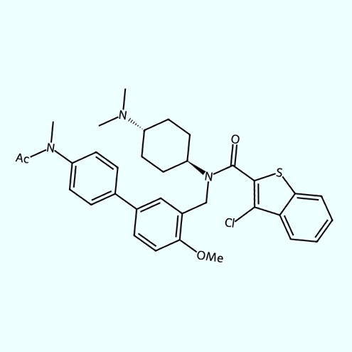 COc1ccc(-c2ccc(N(C)C(C)=O)cc2)cc1CN(C(=O)c1sc2ccccc2c1Cl)[C@H]1CC[C@H](N(C)C)CC1